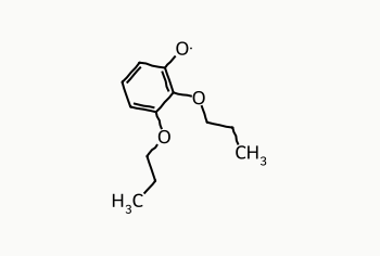 CCCOc1cccc([O])c1OCCC